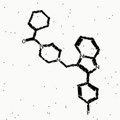 O=C(C1CCCCC1)N1CCN(Cc2c(-c3ccc(F)cc3)nc3ccccn23)CC1